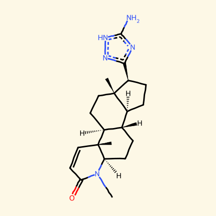 CN1C(=O)C=C[C@]2(C)[C@H]3CC[C@]4(C)[C@@H](c5n[nH]c(N)n5)CC[C@H]4[C@@H]3CC[C@@H]12